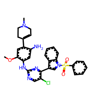 COc1cc(C2=CCN(C)CC2)c(N)cc1Nc1ncc(Cl)c(-c2cn(S(=O)(=O)c3ccccc3)c3ccccc23)n1